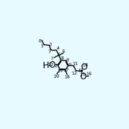 CCCCCC(C)(C)c1cc(CCC(=O)OC)c(C)c(C)c1O